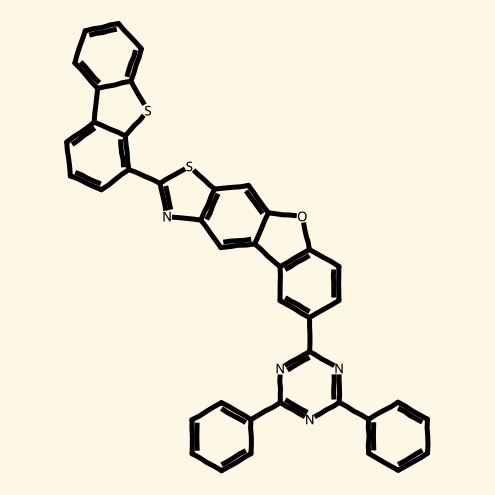 c1ccc(-c2nc(-c3ccccc3)nc(-c3ccc4oc5cc6sc(-c7cccc8c7sc7ccccc78)nc6cc5c4c3)n2)cc1